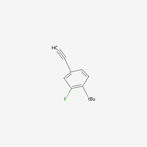 C#Cc1ccc(C(C)(C)C)c(F)c1